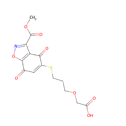 COC(=O)c1noc2c1C(=O)C(SCCCOCC(=O)O)=CC2=O